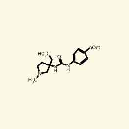 CCCCCCCCc1ccc(NC(=O)NC2(CC(=O)O)CCN(C)C2)cc1